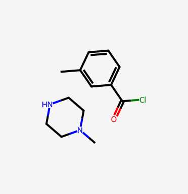 CN1CCNCC1.Cc1cccc(C(=O)Cl)c1